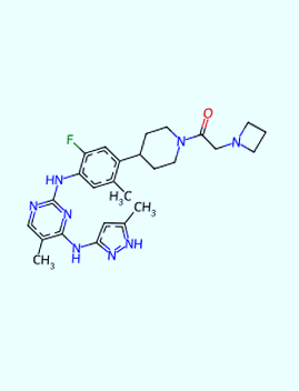 Cc1cc(Nc2nc(Nc3cc(C)c(C4CCN(C(=O)CN5CCC5)CC4)cc3F)ncc2C)n[nH]1